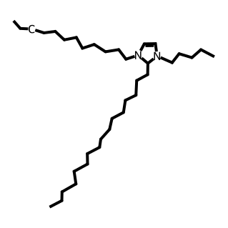 CCCCCCCCCCCCCCCCC1N(CCCCC)C=CN1CCCCCCCCCCCC